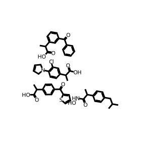 CC(C(=O)O)c1ccc(C(=O)c2cccs2)cc1.CC(C(=O)O)c1ccc(N2CC=CC2)c(Cl)c1.CC(C(=O)O)c1cccc(C(=O)c2ccccc2)c1.CC(C)Cc1ccc(C(C)C(=O)NO)cc1